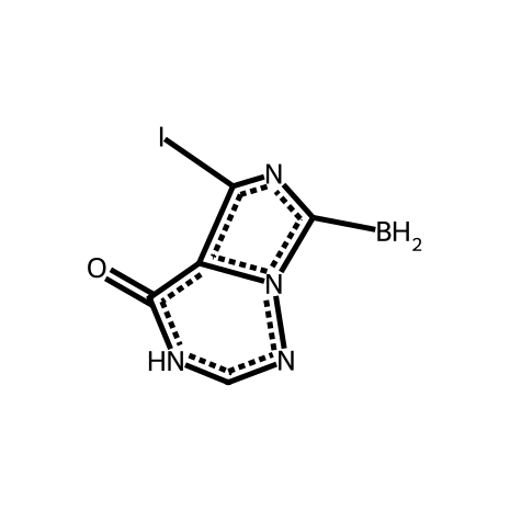 Bc1nc(I)c2c(=O)[nH]cnn12